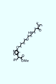 COC(=O)C(c1cc(OCCCCOCCNCCC(=O)N(C)C)no1)C(C)C